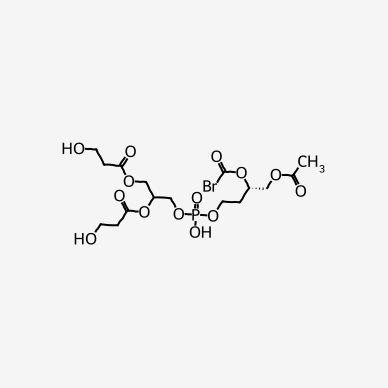 CC(=O)OC[C@H](CCOP(=O)(O)OCC(COC(=O)CCO)OC(=O)CCO)OC(=O)Br